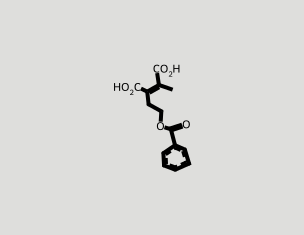 CC(C(=O)O)=C(CCOC(=O)c1ccccc1)C(=O)O